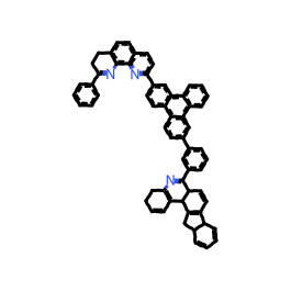 C1=CC2CC3=C(C=CC4C(c5cccc(-c6ccc7c8ccc(-c9ccc%10ccc%11c(c%10n9)N=C(c9ccccc9)CC%11)cc8c8ccccc8c7c6)c5)=NC5=C(C=CCC5)C34)C2C=C1